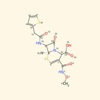 CONC(=O)C1=CS[C@H]2C(NC(=O)Cc3cccs3)C(=O)N2C1C(=O)O